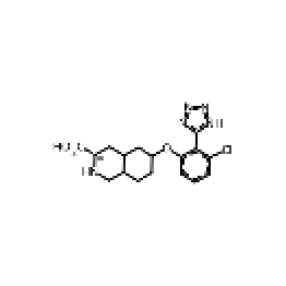 O=C(O)[C@H]1CC2CC(Oc3cccc(Cl)c3-c3nnn[nH]3)CCC2CN1